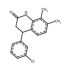 Cc1ccc2c(c1C)NC(=O)CC2c1cccc(Cl)c1